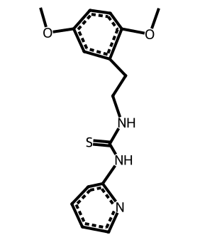 COc1ccc(OC)c(CCNC(=S)Nc2ccccn2)c1